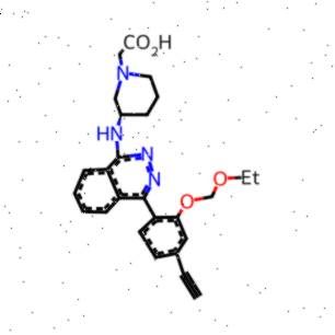 C#Cc1ccc(-c2nnc(N[C@@H]3CCCN(CC(=O)O)C3)c3ccccc23)c(OCOCC)c1